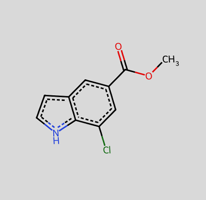 COC(=O)c1cc(Cl)c2[nH]ccc2c1